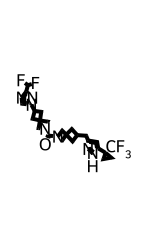 O=C(N1CC2(CC(Cc3cc(C4(C(F)(F)F)CC4)[nH]n3)C2)C1)N1CC2(CC(n3cnc(C(F)F)n3)C2)C1